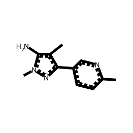 Cc1ccc(-c2nn(C)c(N)c2C)cn1